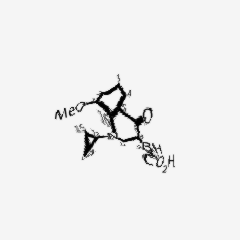 COc1cccc2c(=O)c(BC(=O)O)cn(C3CC3)c12